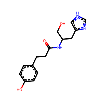 O=C(CCc1ccc(O)cc1)NC(CO)Cc1c[nH]cn1